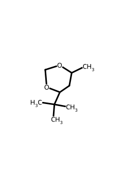 CC1CC(C(C)(C)C)OCO1